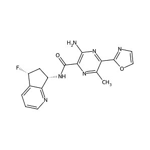 Cc1nc(C(=O)N[C@H]2C[C@@H](F)c3cccnc32)c(N)nc1-c1ncco1